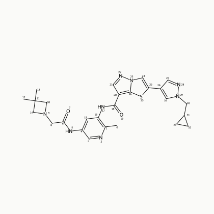 Cc1ncc(NC(=O)CN2CC(C)(C)C2)cc1NC(=O)c1cnn2cc(-c3cnn(CC4CC4)c3)sc12